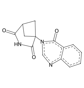 O=C1NC(=O)C2(n3cnc4ccccc4c3=O)CC1C2